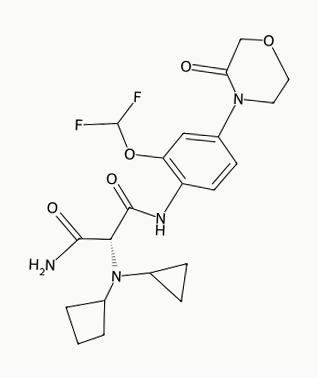 NC(=O)[C@H](C(=O)Nc1ccc(N2CCOCC2=O)cc1OC(F)F)N(C1CCC1)C1CC1